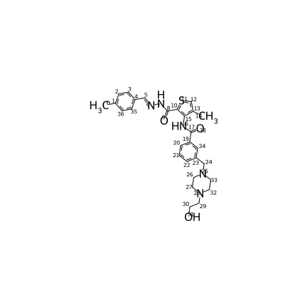 Cc1ccc(C=NNC(=O)c2scc(C)c2NC(=O)c2cccc(CN3CCN(CCO)CC3)c2)cc1